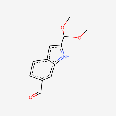 COC(OC)c1cc2ccc(C=O)cc2[nH]1